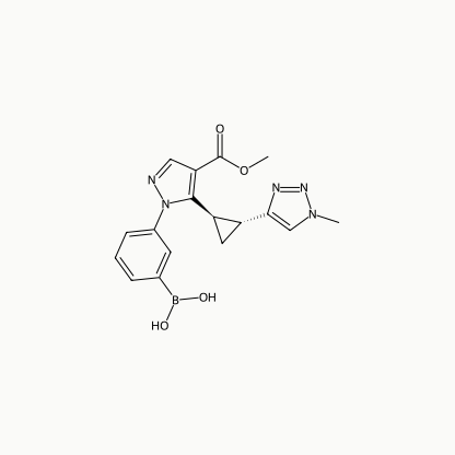 COC(=O)c1cnn(-c2cccc(B(O)O)c2)c1[C@@H]1C[C@H]1c1cn(C)nn1